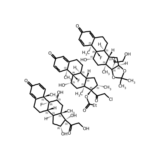 CC1(C)O[C@@H]2C[C@H]3[C@@H]4CCC5=CC(=O)C=C[C@]5(C)[C@@]4(F)[C@@H](O)C[C@]3(C)[C@]2(C(=O)CO)O1.CCC(=O)O[C@]1(C(=O)CCl)[C@@H](C)C[C@H]2[C@@H]3CCC4=CC(=O)C=C[C@]4(C)[C@@]3(F)[C@@H](O)C[C@@]21C.C[C@]12C=CC(=O)C=C1CC[C@H]1[C@@H]3C[C@@H](O)[C@](O)(C(=O)CO)[C@@]3(C)C[C@H](O)[C@@]12F